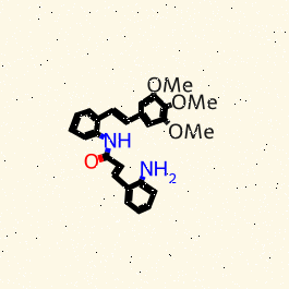 COc1cc(/C=C/c2ccccc2NC(=O)/C=C/c2ccccc2N)cc(OC)c1OC